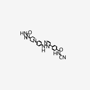 N#CCNC(=O)c1ccc(-c2ccnc(Nc3ccc(N4CCC(n5nc[nH]c5=O)CC4)cc3)n2)cc1